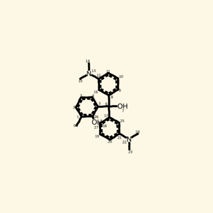 Cc1cccc(C(O)(c2cccc(N(C)C)c2)c2cccc(N(C)C)c2)c1O